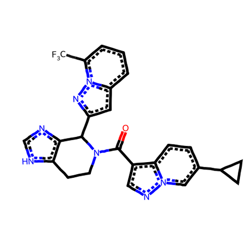 O=C(c1cnn2cc(C3CC3)ccc12)N1CCc2[nH]cnc2C1c1cc2cccc(C(F)(F)F)n2n1